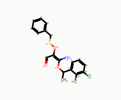 CC(O/C(N)=C(\C=O)OSCc1ccccc1)c1cccc(Cl)c1Cl